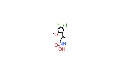 COc1cc(F)c(Cl)cc1C1CC1CNC(=O)O